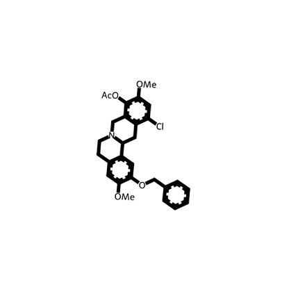 COc1cc2c(cc1OCc1ccccc1)C1Cc3c(Cl)cc(OC)c(OC(C)=O)c3CN1CC2